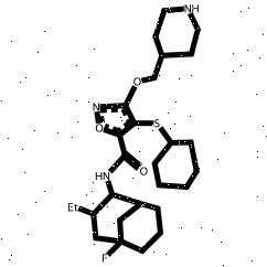 CCC1CC2(F)CCCC(C2)C1NC(=O)c1onc(OCC2CCNCC2)c1SC1CCCCC1